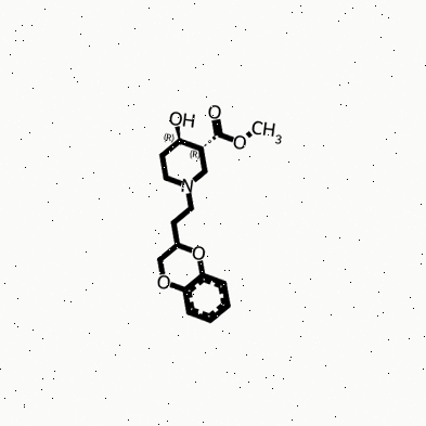 COC(=O)[C@@H]1CN(CCC2COc3ccccc3O2)CC[C@H]1O